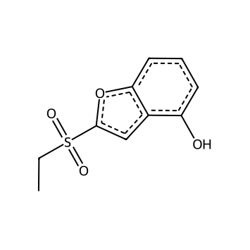 CCS(=O)(=O)c1cc2c(O)cccc2o1